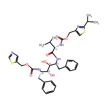 CC(C)c1nc(COC(=O)N[C@H](C(=O)N[C@@H](Cc2ccccc2)[C@H](O)[C@H](O)[C@H](Cc2ccccc2)NC(=O)OCc2cncs2)C(C)C)cs1